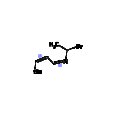 CC(C)C(C)/N=C\C=C/C(C)(C)C